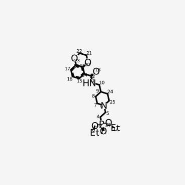 CCOP(=O)(CCN1CCC(CNC(=O)c2cccc3c2OCCO3)CC1)OCC